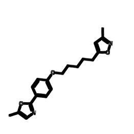 Cc1cc(CCCCCOc2ccc(-c3ncc(C)o3)cc2)on1